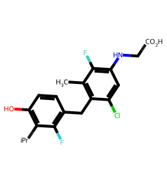 Cc1c(F)c(NCC(=O)O)cc(Cl)c1Cc1ccc(O)c(C(C)C)c1F